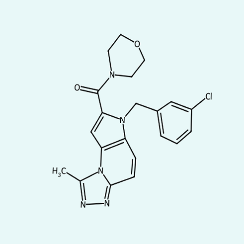 Cc1nnc2ccc3c(cc(C(=O)N4CCOCC4)n3Cc3cccc(Cl)c3)n12